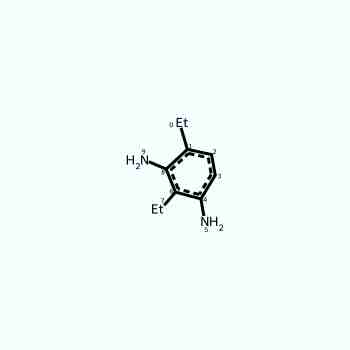 CCc1ccc(N)c(CC)c1N